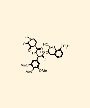 CCN1CCN(C(=O)NC(C(=O)N[C@H]2Cc3cccc(C(=O)O)c3OB2O)c2cc(OC)c(OC)c(OC)c2)C(=O)C1=O